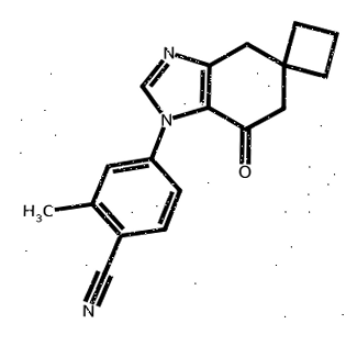 Cc1cc(-n2cnc3c2C(=O)CC2(CCC2)C3)ccc1C#N